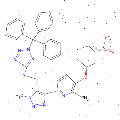 Cc1nc(-c2nnn(C)c2CNc2nnn(C(c3ccccc3)(c3ccccc3)c3ccccc3)n2)ccc1O[C@H]1CCC[C@H](C(=O)O)C1